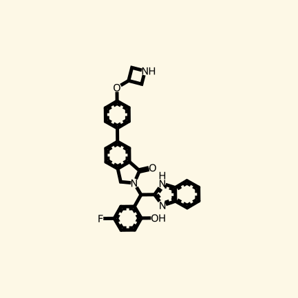 O=C1c2cc(-c3ccc(OC4CNC4)cc3)ccc2CN1C(c1nc2ccccc2[nH]1)c1cc(F)ccc1O